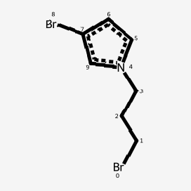 BrCCCn1ccc(Br)c1